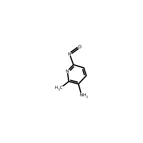 Cc1nc(N=O)ccc1N